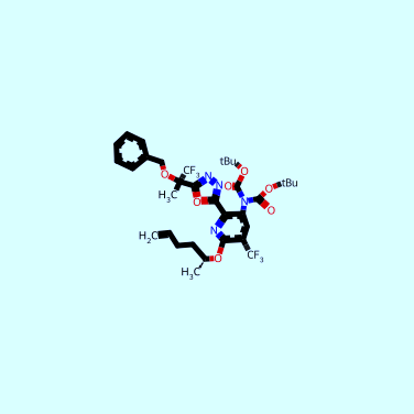 C=CCC[C@@H](C)Oc1nc(-c2nnc(C(C)(OCc3ccccc3)C(F)(F)F)o2)c(N(C(=O)OC(C)(C)C)C(=O)OC(C)(C)C)cc1C(F)(F)F